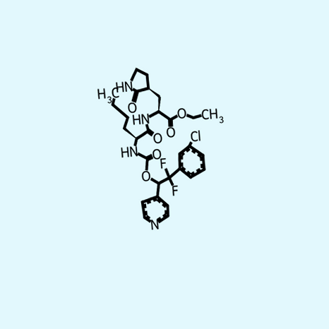 CCCC[C@H](NC(=O)OC(c1ccncc1)C(F)(F)c1cccc(Cl)c1)C(=O)N[C@@H](C[C@@H]1CCNC1=O)C(=O)OCC